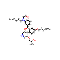 CCC[C@H](O)CO[C@@H]1CNC[C@H](OCc2ccc3c(c2)N(CCCOC)CCO3)[C@H]1c1ccc(OCCCOC)cc1